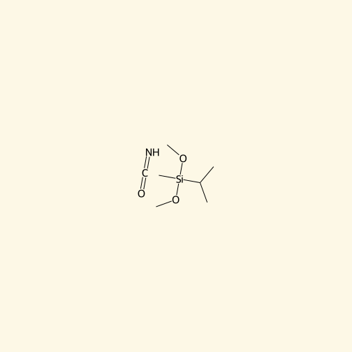 CO[Si](C)(OC)C(C)C.N=C=O